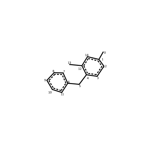 Cc1[c]cc(Cc2ccccc2)c(C)c1